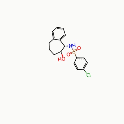 O=S(=O)(N[C@H]1c2ccccc2CCC[C@@H]1O)c1ccc(Cl)cc1